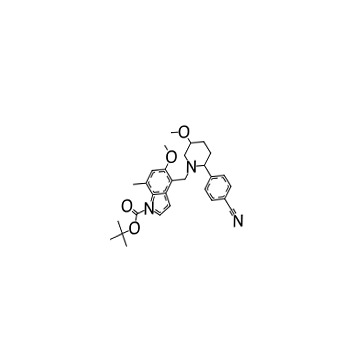 COc1cc(C)c2c(ccn2C(=O)OC(C)(C)C)c1CN1CC(OC)CCC1c1ccc(C#N)cc1